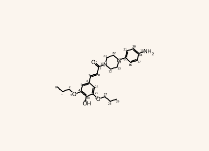 CCCOc1cc(C=CC(=O)N2CCN(c3ccc(N)cc3)CC2)cc(OCCC)c1O